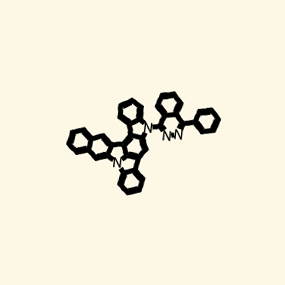 c1ccc(-c2nnc(-n3c4ccccc4c4c5c6cc7ccccc7cc6n6c7ccccc7c(cc43)c56)c3ccccc23)cc1